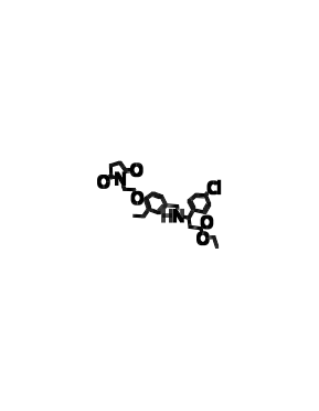 CCOC(=O)CC(NCc1ccc(OCCN2C(=O)CCC2=O)c(CC)c1)c1ccc(Cl)cc1